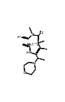 C=CN/C(=C(/C)[C@@](C)(OC)C(CC)N(C)C=N)C(C)N1CCOCC1